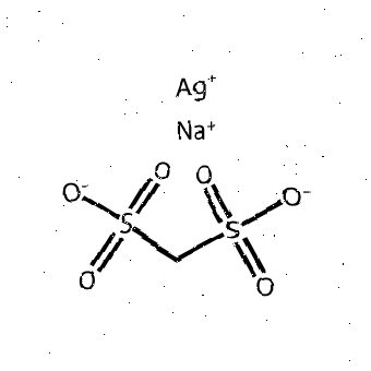 O=S(=O)([O-])CS(=O)(=O)[O-].[Ag+].[Na+]